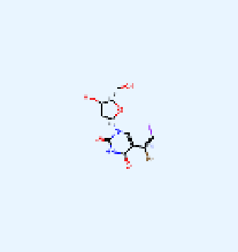 O=c1[nH]c(=O)n([C@@H]2CC(O)[C@H](CO)O2)cc1/C(Br)=C\I